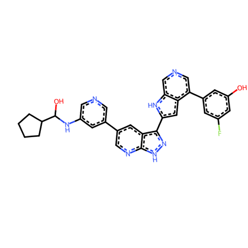 Oc1cc(F)cc(-c2cncc3[nH]c(-c4n[nH]c5ncc(-c6cncc(NC(O)C7CCCC7)c6)cc45)cc23)c1